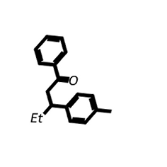 CCC(CC(=O)c1ccccc1)c1ccc(C)cc1